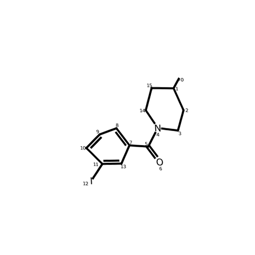 [CH2]C1CCN(C(=O)c2cccc(I)c2)CC1